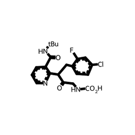 CC(C)(C)NC(=O)c1cccnc1C(Cc1ccc(Cl)cc1F)C(=O)CNC(=O)O